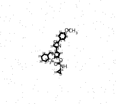 COc1ccc(-c2nc(-c3cc(OC(=O)NC4CC4)c(C)n3CC3CCCCC3)cs2)cc1